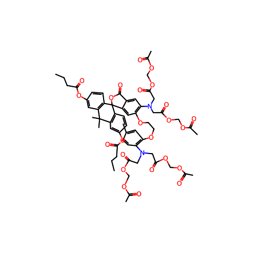 CCCC(=O)Oc1ccc2c(c1)C(C)(C)c1cc(OC(=O)CCC)ccc1C21OC(=O)c2cc(N(CC(=O)OCOC(C)=O)CC(=O)OCOC(C)=O)c(OCCOc3cc(C)ccc3N(CC(=O)OCOC(C)=O)CC(=O)OCOC(C)=O)cc21